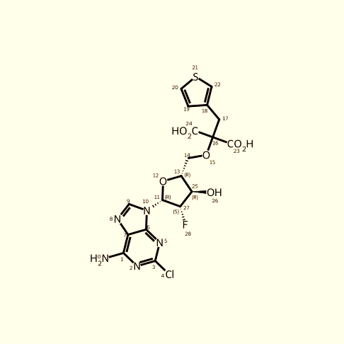 Nc1nc(Cl)nc2c1ncn2[C@@H]1O[C@H](COC(Cc2ccsc2)(C(=O)O)C(=O)O)[C@@H](O)[C@@H]1F